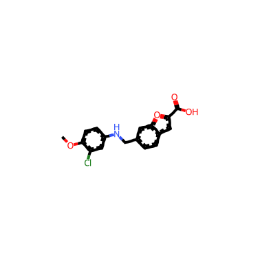 COc1ccc(NCc2ccc3cc(C(=O)O)oc3c2)cc1Cl